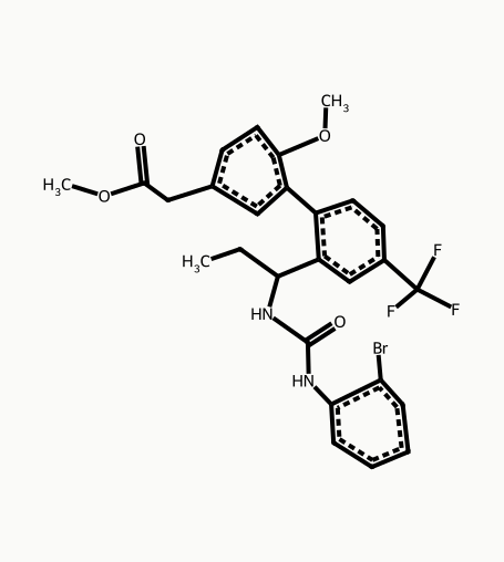 CCC(NC(=O)Nc1ccccc1Br)c1cc(C(F)(F)F)ccc1-c1cc(CC(=O)OC)ccc1OC